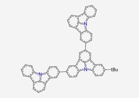 CC(C)(C)c1ccc2c(c1)c1cc(-c3ccc4c(c3)c3cccc5c6ccccc6n4c53)cc3c4cc(-c5ccc6c(c5)c5cccc7c8ccccc8n6c75)ccc4n2c31